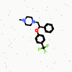 CN1CCN(CC(Oc2ccc(C(F)(F)F)cc2)c2ccccc2)CC1